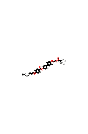 C=C(C)C(=O)OCCOc1ccc(-c2ccc(OC(=O)c3ccc(OCCCC(=O)O)cc3)cc2)cc1